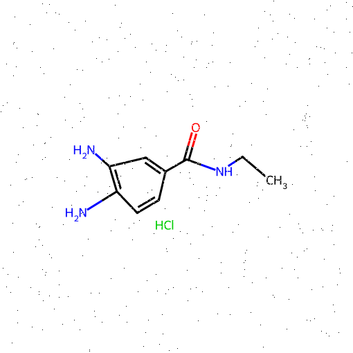 CCNC(=O)c1ccc(N)c(N)c1.Cl